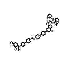 O=C1CCC(Nc2ccc(C3CCN(C(=O)CN4CCN(c5ccc(-c6cc(F)c7c(c6)C(=O)N(C(C(=O)Nc6nccs6)c6ncn8c6CCC8)C7)cc5)CC4)CC3)cc2)C(=O)N1